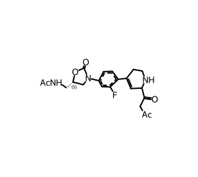 CC(=O)CC(=O)C1C=C(c2ccc(N3C[C@H](CNC(C)=O)OC3=O)cc2F)CCN1